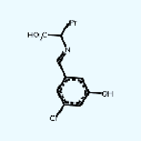 CC(C)C(N=Cc1cc(O)cc(Cl)c1)C(=O)O